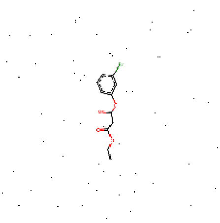 CCOC(=O)CC(=O)Oc1cccc(Br)c1